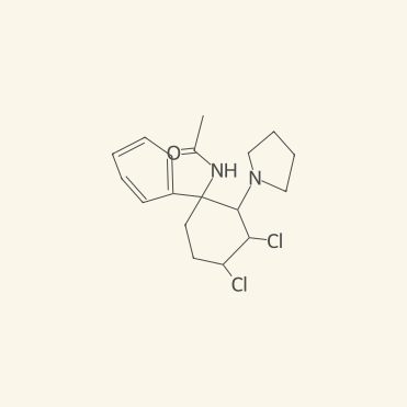 CC(=O)NC1(c2ccccc2)CCC(Cl)C(Cl)C1N1CCCC1